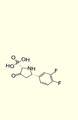 O=C1C[C@@H](c2ccc(F)c(F)c2)N[C@H]1P(=O)(O)O